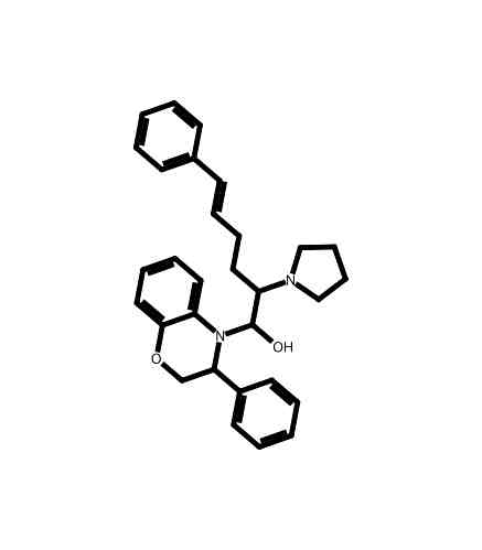 OC(C(CCC=Cc1ccccc1)N1CCCC1)N1c2ccccc2OCC1c1ccccc1